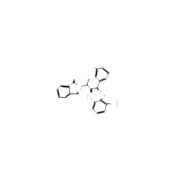 CC(c1nc2cccc(Cl)c2nc1-c1cccc(F)c1)N1C(=O)c2ccccc2C1=O